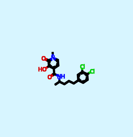 CC(CCCc1ccc(Cl)c(Cl)c1)NC(=O)c1ccn(C)c(=O)c1O